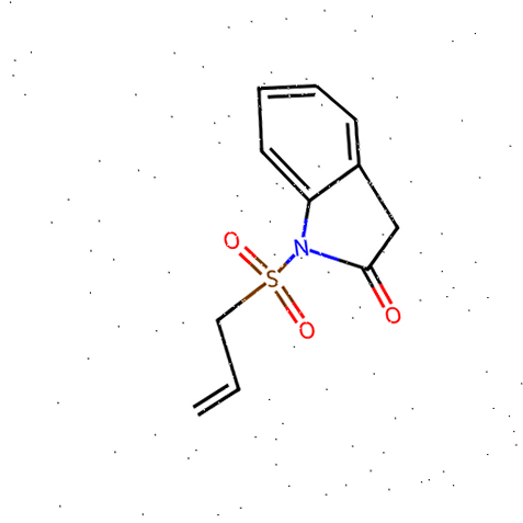 C=CCS(=O)(=O)N1C(=O)Cc2ccccc21